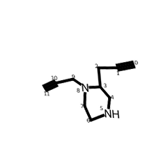 C#CCC1CNCCN1CC#C